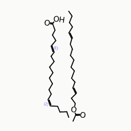 CCCC/C=C\CCCCCCCC/C=C/CCCC(=O)O.CCCCC=CCCCCCCCCC=CCCOC(C)=O